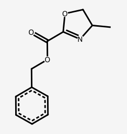 CC1COC(C(=O)OCc2ccccc2)=N1